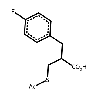 CC(=O)SCC(Cc1ccc(F)cc1)C(=O)O